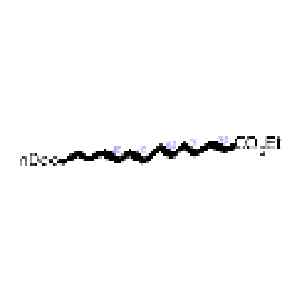 CCCCCCCCCCCCC/C=C/C=C/C=C/C=C/C=C/C(=O)OCC